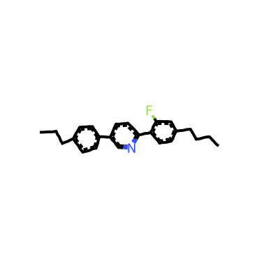 CCCCc1ccc(-c2ccc(-c3ccc(CCC)cc3)cn2)c(F)c1